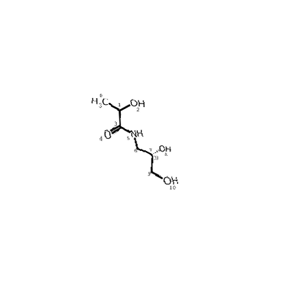 CC(O)C(=O)NC[C@H](O)CO